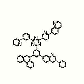 c1ccc(-c2cnc3cc(-c4cc(-c5nc(-c6ccc(-c7ccc8cccnc8c7)nc6)nc(-c6cccc(-c7ccccn7)c6)n5)cc(-c5cc6ccccc6c6ccccc56)c4)ccc3c2)cc1